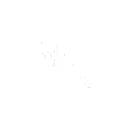 CCCCNc1nc(NCCC2C=CC=CC2C)nc(Nc2ccc(CC(=O)NCCOCCOCCN)cc2)n1